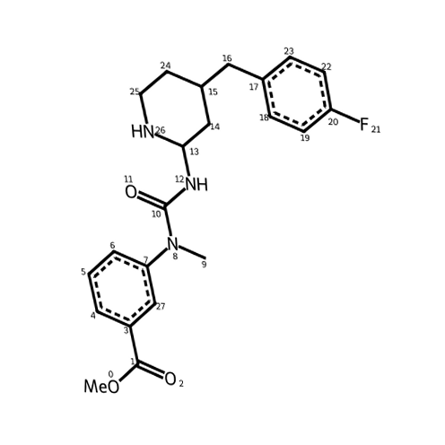 COC(=O)c1cccc(N(C)C(=O)NC2CC(Cc3ccc(F)cc3)CCN2)c1